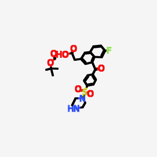 CC(C)(C)OC=O.O=C(O)Cc1cc(C(=O)c2ccc(S(=O)(=O)N3CCNCC3)cc2)c2cc(F)ccc2c1